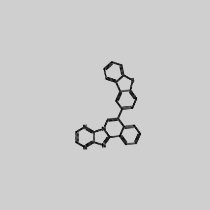 c1ccc2c(c1)sc1ccc(-c3cn4c5nccnc5nc4c4ccccc34)cc12